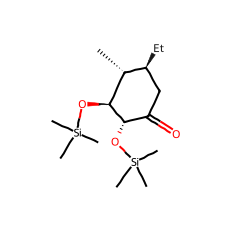 CC[C@H]1CC(=O)[C@H](O[Si](C)(C)C)[C@@H](O[Si](C)(C)C)[C@@H]1C